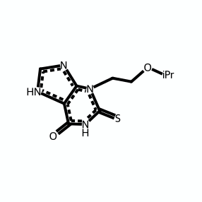 CC(C)OCCn1c(=S)[nH]c(=O)c2[nH]cnc21